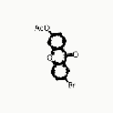 CC(=O)Oc1ccc2c(=O)c3cc(Br)ccc3oc2c1